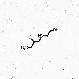 NCC(O)CNCCO